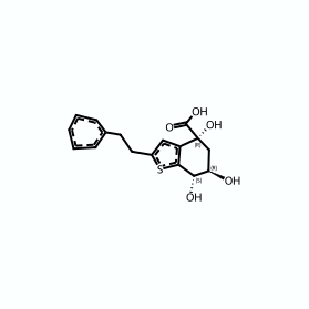 O=C(O)[C@@]1(O)C[C@@H](O)[C@H](O)c2sc(CCc3ccccc3)cc21